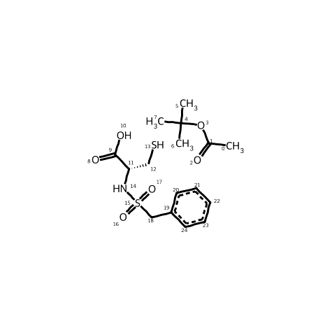 CC(=O)OC(C)(C)C.O=C(O)[C@H](CS)NS(=O)(=O)Cc1ccccc1